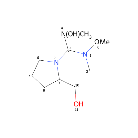 CON(C)[C](N(C)O)N1CCCC1CO